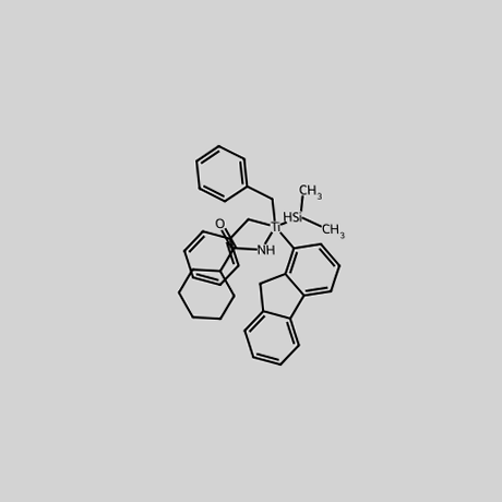 C[SiH](C)[Ti]([CH2]c1ccccc1)([CH2]c1ccccc1)([NH]C(=O)C1CCCCC1)[c]1cccc2c1Cc1ccccc1-2